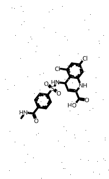 CNC(=O)c1ccc(S(=O)(=O)NC2C=C(C(=O)O)Nc3cc(Cl)cc(Cl)c32)cc1